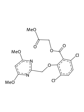 COC(=O)COC(=O)c1c(Cl)ccc(Cl)c1OCc1nc(OC)cc(OC)n1